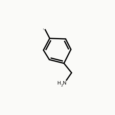 [CH]c1ccc(CN)cc1